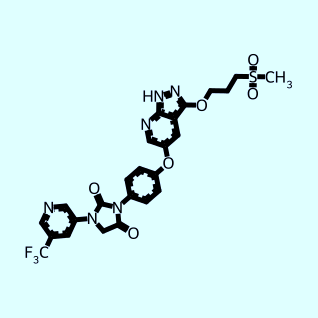 CS(=O)(=O)CCCOc1n[nH]c2ncc(Oc3ccc(N4C(=O)CN(c5cncc(C(F)(F)F)c5)C4=O)cc3)cc12